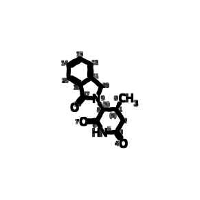 C[C@H]1CC(=O)NC(=O)[C@H]1N1Cc2ccccc2C1=O